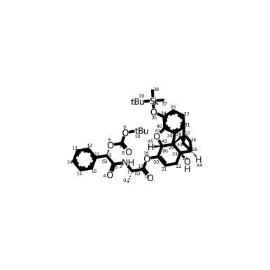 C[C@H](NC(=O)[C@@H](OC(=O)OC(C)(C)C)c1ccccc1)C(=O)OC1=CC[C@@]2(O)[C@@H]3CC=C[C@@]24c2c(ccc(O[Si](C)(C)C(C)(C)C)c2O[C@@H]14)C3